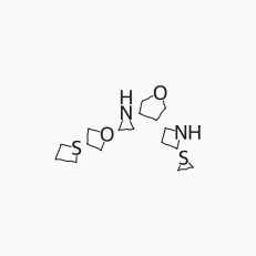 C1CCOC1.C1CN1.C1CNC1.C1COC1.C1CS1.C1CSC1